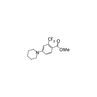 COC(=O)c1ccc(N2CCCCC2)cc1C(F)(F)F